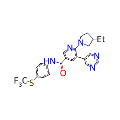 CC[C@H]1CCN(c2ncc(C(=O)Nc3ccc(SC(F)(F)F)cc3)cc2-c2cncnc2)C1